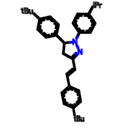 CC(C)c1ccc(N2N=C(C=Cc3ccc(C(C)(C)C)cc3)CC2c2ccc(C(C)(C)C)cc2)cc1